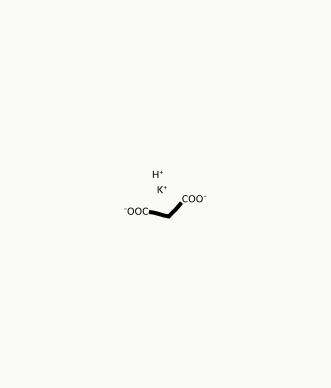 O=C([O-])CC(=O)[O-].[H+].[K+]